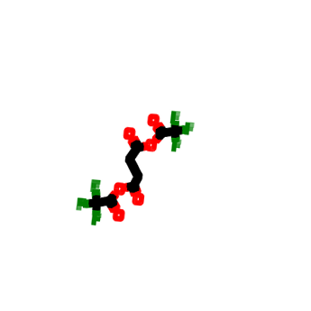 O=C(CCC(=O)OC(=O)C(F)(F)F)OC(=O)C(F)(F)F